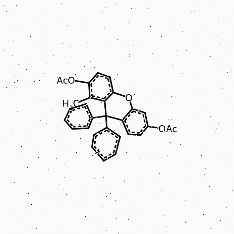 CC(=O)Oc1ccc2c(c1)Oc1ccc(OC(C)=O)c(C)c1C2(c1ccccc1)c1ccccc1